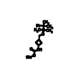 CC(C)C(C)(C)[Si](C)(C)OC[C@H]1C[C@@H](NC(=O)OC(C)(C)C)C1